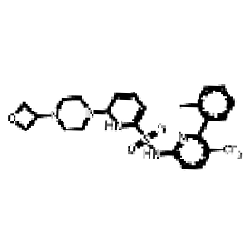 Cc1ccccc1-c1nc(NS(=O)(=O)C2=CC=CC(N3CCN(C4COC4)CC3)N2)ccc1C(F)(F)F